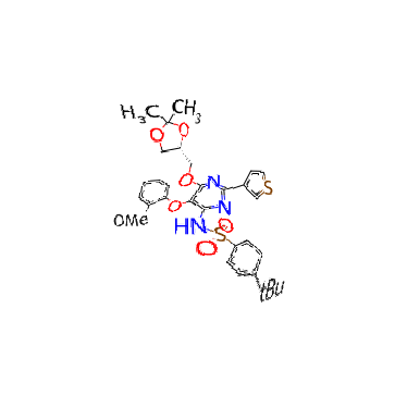 COc1ccccc1Oc1c(NS(=O)(=O)c2ccc(C(C)(C)C)cc2)nc(-c2ccsc2)nc1OC[C@@H]1COC(C)(C)O1